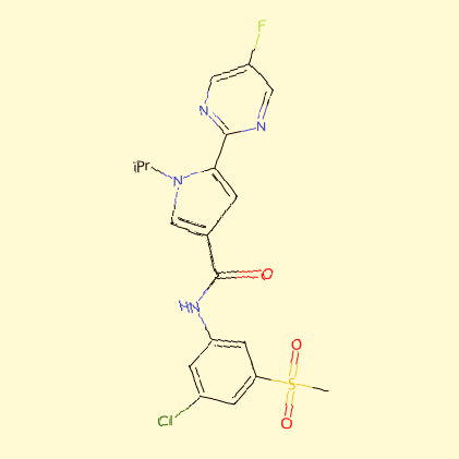 CC(C)n1cc(C(=O)Nc2cc(Cl)cc(S(C)(=O)=O)c2)cc1-c1ncc(F)cn1